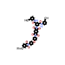 C#Cc1cccc(NC(=O)c2cc(C(=O)Nc3cccc(C#C)c3)cc(-n3c(=O)c4cc5c(=O)n(-c6ccc(Oc7ccc(N8C(=O)c9ccc(OC)cc9C8=O)cc7)cc6)c(=O)c5cc4c3=O)c2)c1